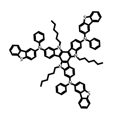 CCCCCCn1c2cc(N(c3ccccc3)c3ccc4sc5ccccc5c4c3)ccc2c2c1c1c3ccc(N(c4ccccc4)c4ccc5sc6ccccc6c5c4)cc3n(CCCCCC)c1c1c3ccc(N(c4ccccc4)c4ccc5sc6ccccc6c5c4)cc3n(CCCCCC)c21